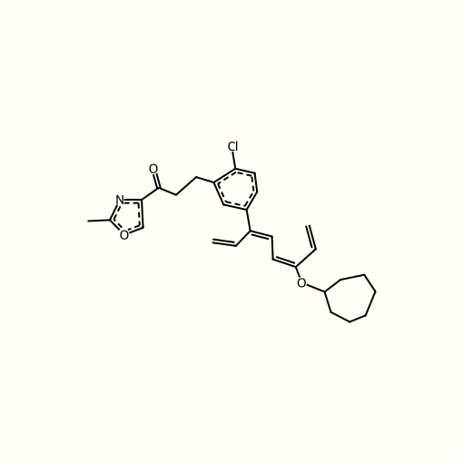 C=C/C(=C\C=C(/C=C)c1ccc(Cl)c(CCC(=O)c2coc(C)n2)c1)OC1CCCCCC1